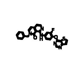 O=c1c2c(Nc3ccc(Oc4ncnc5ccsc45)c(F)c3)nccc2ccn1Cc1ccccc1